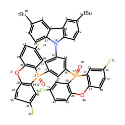 CC(C)(C)c1ccc2c(c1)c1cc(C(C)(C)C)ccc1n2-c1cc(P2(=O)c3cc(F)ccc3Oc3ccc(F)cc32)cc(P2(=O)c3cc(F)ccc3Oc3ccc(F)cc32)c1